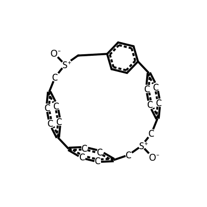 [O-][S+]1Cc2ccc(cc2)-c2ccc(cc2)C[S+]([O-])Cc2ccc(cc2)-c2ccc(cc2)C1